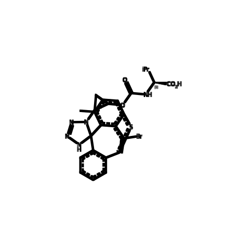 Cc1ccc2sc3c(Br)c2c1C1(NN=NN1C1CC1OC(=O)N[C@H](C(=O)O)C(C)C)c1ccccc1-3